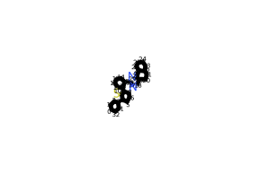 c1ccc(-c2cccc3c2sc2cccc(-c4ncc5ccc6ccccc6c5n4)c23)cc1